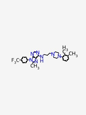 Cc1cccc(N2CCN(CCCNc3ncnc4c3nc(C)n4-c3ccc(C(F)(F)F)cc3)CC2)c1C